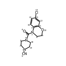 N#CN1CCN(C(=O)N2CCOc3cc(Cl)ccc32)CC1